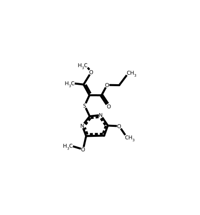 CCOC(=O)/C(Sc1nc(OC)cc(OC)n1)=C(/C)OC